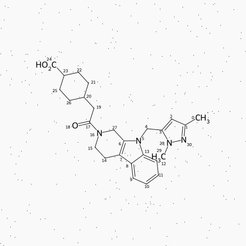 Cc1cc(Cn2c3c(c4ccccc42)CCN(C(=O)CC2CCC(C(=O)O)CC2)C3)n(C)n1